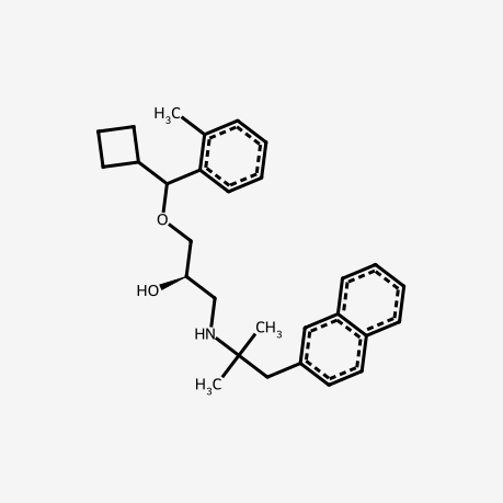 Cc1ccccc1C(OC[C@H](O)CNC(C)(C)Cc1ccc2ccccc2c1)C1CCC1